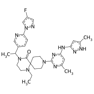 CCN1CCN(C(C)c2ccc(-n3cc(F)cn3)nc2)C(=O)C12CCN(c1nc(C)cc(Nc3cc(C)[nH]n3)n1)CC2